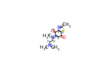 Cc1nc2c(s1)C(=O)C=C(N(C)CCN(C)C)C2=O